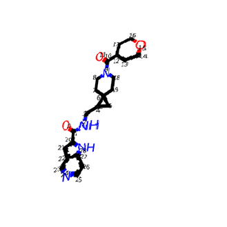 O=C(NCC1CC12CCN(C(=O)C1CCOCC1)CC2)c1cc2cnccc2[nH]1